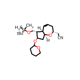 CC(C)(C)[Si](C)(C)OC[C@@H]1[C@H]2C=CC[C@H](CC#N)O[C@H]2C[C@H]1OC1CCCCO1